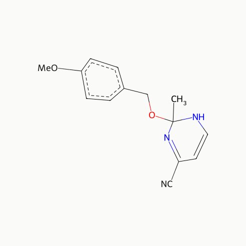 COc1ccc(COC2(C)N=C(C#N)C=CN2)cc1